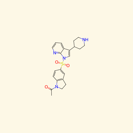 CC(=O)N1CCc2cc(S(=O)(=O)n3cc(C4CCNCC4)c4cccnc43)ccc21